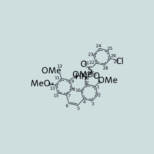 COc1ccc(/C=C\c2cc(OC)c(OC)c(OC)c2)cc1NS(=O)(=O)c1cccc(Cl)c1